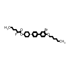 CCCCCCOc1ccc(-c2ccc([C@H]3CC[C@H](OC(=O)[C@@H](F)CCCC)CC3)cc2)cc1Br